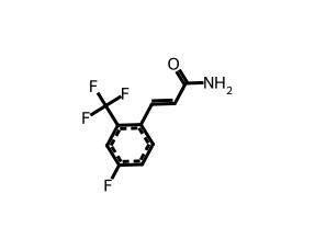 NC(=O)C=Cc1ccc(F)cc1C(F)(F)F